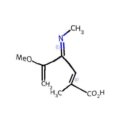 C=C(OC)C(/C=C(\C)C(=O)O)=N/C